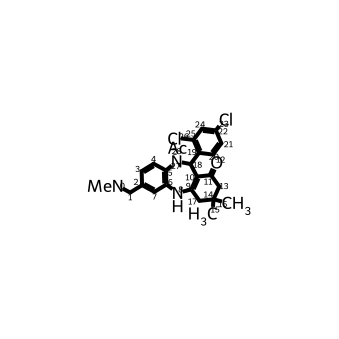 CNCc1ccc2c(c1)NC1=C(C(=O)CC(C)(C)C1)C(c1ccc(Cl)cc1Cl)N2C(C)=O